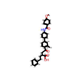 COc1ccc(C(=O)Nc2ccc(-c3ccc(C(=O)CC(CCc4ccccc4)C(=O)O)c(C)c3)cc2)cc1